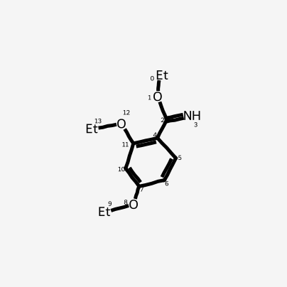 CCOC(=N)c1ccc(OCC)cc1OCC